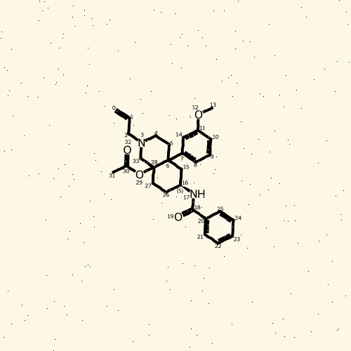 C=CCN1CCC2(c3cccc(OC)c3)C[C@@H](NC(=O)c3ccccc3)CCC2(OC(C)=O)C1